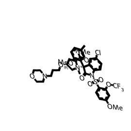 CNC(=O)[C@@H]1C[C@@H](OCCCN2CCOCC2)C[N+]1(C)C1(c2cc(C)ccc2OC)C(=O)N(S(=O)(=O)c2ccc(OC)cc2OC(F)(F)F)c2ccc(Cl)cc21